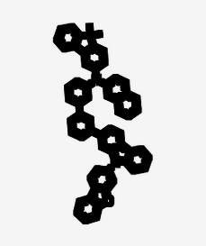 CC1(C)c2ccccc2-c2cc(N(c3cccc(-c4cccc(-c5ccc6c7ccccc7n(-c7ccc8c(c7)oc7ccccc78)c6c5)c4)c3)c3ccc4ccccc4c3)ccc21